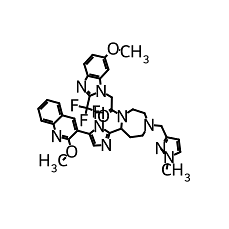 COc1ccc2nc(C(F)(F)F)n(CC(=O)N3CCN(Cc4ccn(C)n4)CCC3c3ncc(-c4cc5ccccc5nc4OC)[nH]3)c2c1